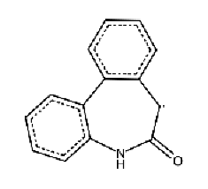 O=C1[CH]c2ccccc2-c2ccccc2N1